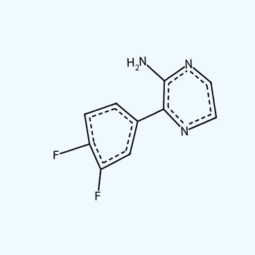 Nc1nccnc1-c1ccc(F)c(F)c1